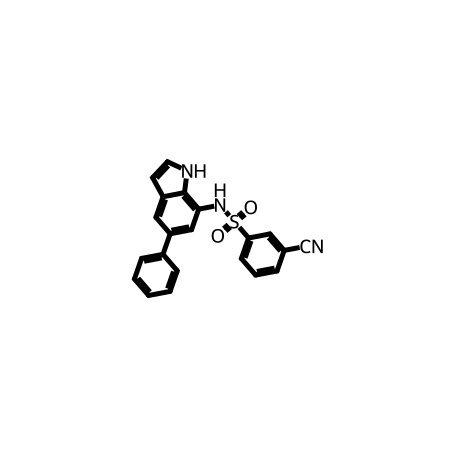 N#Cc1cccc(S(=O)(=O)Nc2cc(-c3ccccc3)cc3cc[nH]c23)c1